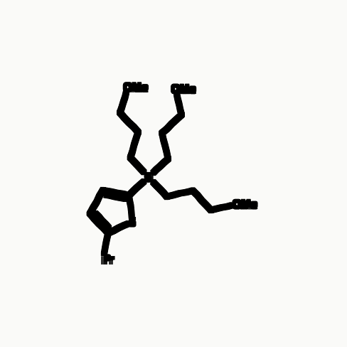 COCCC[Si](CCCOC)(CCCOC)c1ccc(C(C)C)s1